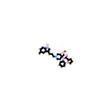 COCC1(N(C(=O)c2ccco2)c2ccccc2)CCN(CCCc2c[nH]c3ccc(C)cc23)CC1